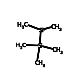 C[Si](C)[Si](C)(C)C